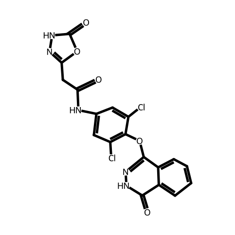 O=C(Cc1n[nH]c(=O)o1)Nc1cc(Cl)c(Oc2n[nH]c(=O)c3ccccc23)c(Cl)c1